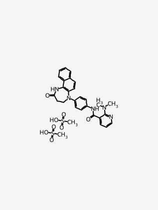 CN(C)c1ncccc1C(=O)Nc1ccc(N2CCC(=O)Nc3c2ccc2ccccc32)cc1.CS(=O)(=O)O.CS(=O)(=O)O